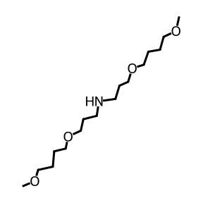 COCCCCOCCCNCCCOCCCCOC